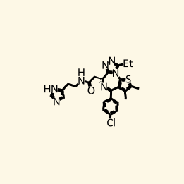 CCc1nnc2n1-c1sc(C)c(C)c1C(c1ccc(Cl)cc1)=N[C@H]2CC(=O)NCCc1cnc[nH]1